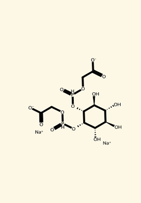 O=C([O-])CO[PH](=O)O[C@@H]1[C@@H](O)[C@H](O)[C@@H](O)[C@H](O)[C@@H]1O[PH](=O)OCC(=O)[O-].[Na+].[Na+]